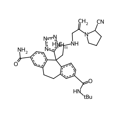 C=C(CN[C@@H](C)CC1(c2nnn[nH]2)c2ccc(C(N)=O)cc2CCc2cc(C(=O)NC(C)(C)C)ccc21)N1CCCC1C#N